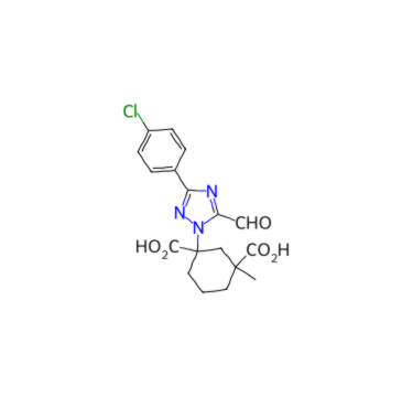 CC1(C(=O)O)CCCC(C(=O)O)(n2nc(-c3ccc(Cl)cc3)nc2C=O)C1